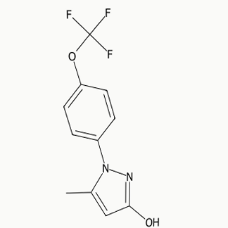 Cc1cc(O)nn1-c1ccc(OC(F)(F)F)cc1